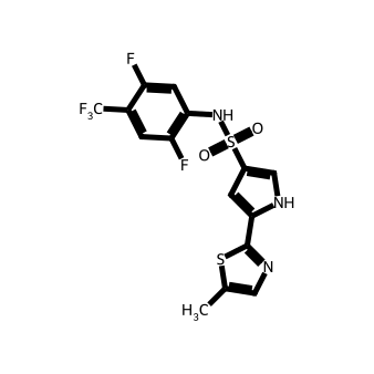 Cc1cnc(-c2cc(S(=O)(=O)Nc3cc(F)c(C(F)(F)F)cc3F)c[nH]2)s1